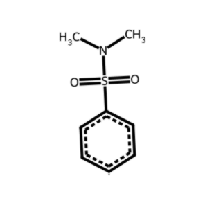 CN(C)S(=O)(=O)c1cc[c]cc1